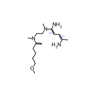 C=C(CCCCOC)N(C)CCN(C)/C(N)=C/C=C(/C)N